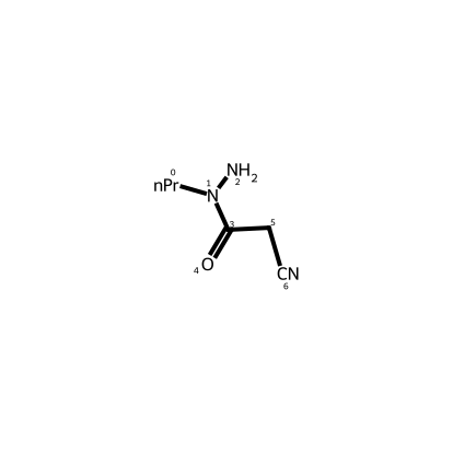 CCCN(N)C(=O)CC#N